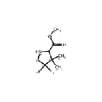 COC(=O)C1NCC(F)(F)C1(C)C